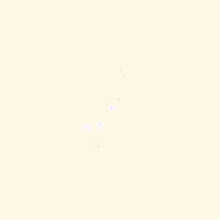 [2H]c1c([2H])c([2H])c2[nH]c([S+]([O-])C([2H])([2H])c3nccc(OC([2H])([2H])C([2H])([2H])C([2H])([2H])OC)c3C)nc2c1[2H]